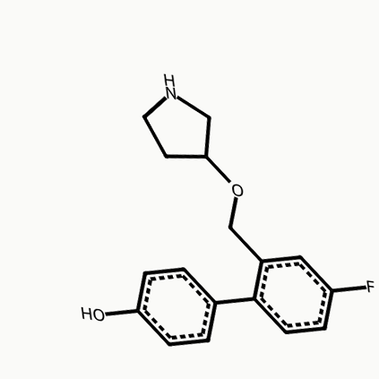 Oc1ccc(-c2ccc(F)cc2COC2CCNC2)cc1